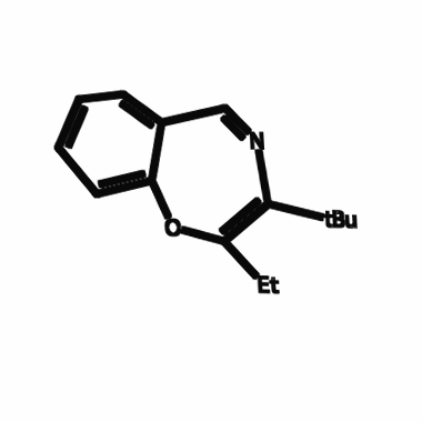 CCC1=C(C(C)(C)C)N=Cc2ccccc2O1